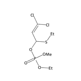 CCOP(=O)(OC)OC(C=C(Cl)Cl)SCC